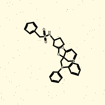 COC1=CC=NCC1(CN(c1ccccc1)c1ccccc1)OC1CCC(NS(=O)(=O)Cc2ccccc2)C1